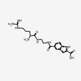 N=C(N)NCCCC(N)C(=O)NCCNC(=O)c1ccc2[nH]c(C(=O)O)cc2c1